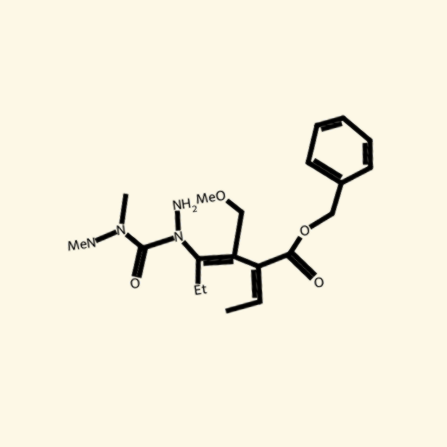 C/C=C(C(=O)OCc1ccccc1)\C(COC)=C(/CC)N(N)C(=O)N(C)NC